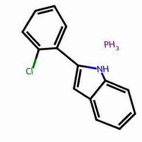 Clc1ccccc1-c1cc2ccccc2[nH]1.P